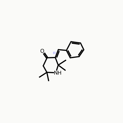 CC1(C)CC(=O)/C(=C/c2ccccc2)C(C)(C)N1